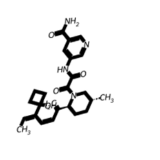 C=C(/C=C\C(=C/C)C1(O)CCC1)[C@@H]1CC[C@@H](C)CN1C(=O)C(=O)Nc1cncc(C(N)=O)c1